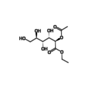 CCOC(=O)[C@H](OC(C)=O)[C@@H](O)[C@H](O)[C@H](O)CO